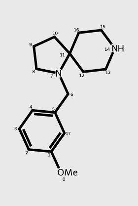 COc1cccc(CN2CCCC23CCNCC3)c1